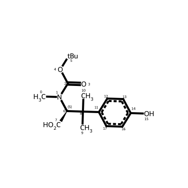 CN(C(=O)OC(C)(C)C)[C@H](C(=O)O)C(C)(C)c1ccc(O)cc1